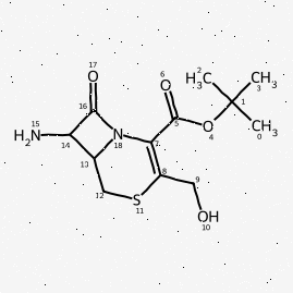 CC(C)(C)OC(=O)C1=C(CO)SCC2C(N)C(=O)N12